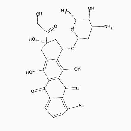 CC(=O)c1cccc2c1C(=O)c1c(O)c3c(c(O)c1C2=O)C[C@@](O)(C(=O)CO)C[C@@H]3OC1CC(N)C(O)C(C)O1